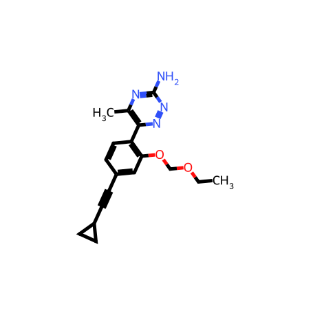 CCOCOc1cc(C#CC2CC2)ccc1-c1nnc(N)nc1C